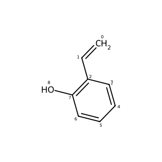 C=Cc1[c]cccc1O